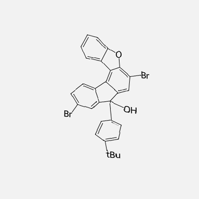 CC(C)(C)c1ccc(C2(O)c3cc(Br)ccc3-c3c2cc(Br)c2oc4ccccc4c32)cc1